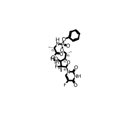 CC(C)OC(=O)[C@H](C)NP(=O)(Oc1ccccc1)O[C@H](C)[C@H]1O[C@@H](n2cc(F)c(=O)[nH]c2=O)[C@](C)(F)C1O